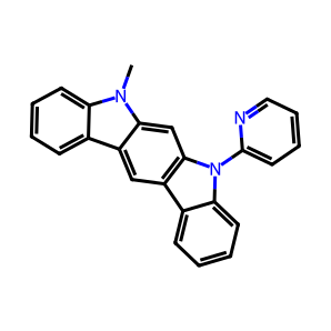 Cn1c2ccccc2c2cc3c4ccccc4n(-c4ccccn4)c3cc21